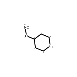 [C-]#[N+]OC1CCOCC1